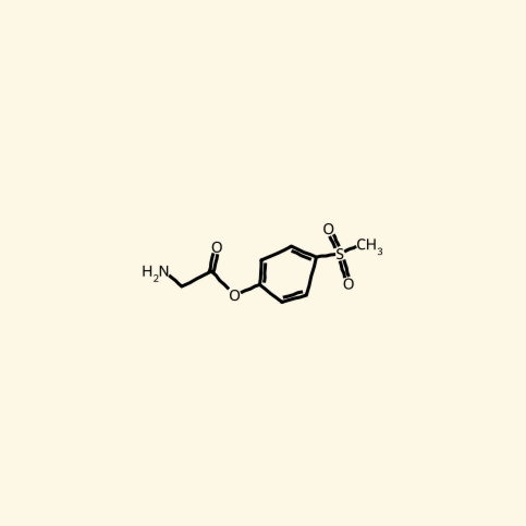 CS(=O)(=O)c1ccc(OC(=O)CN)cc1